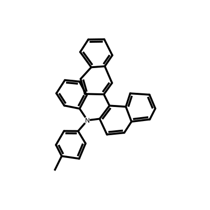 Cc1ccc(N(c2ccccc2)c2ccc3ccccc3c2-c2ccc3ccccc3c2)cc1